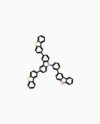 c1cc(-c2ccc3oc4ccccc4c3c2)cc(-n2c3ccc(-c4ccc5sc6ccccc6c5c4)cc3c3cc(-c4ccc5sc6ccccc6c5c4)ccc32)c1